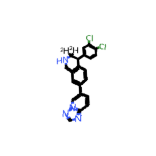 [2H]C1([2H])NCc2cc(-c3ccc4ncnn4c3)ccc2C1c1ccc(Cl)c(Cl)c1